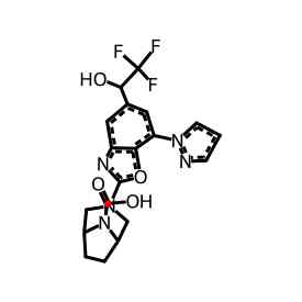 O=C(O)N1C2CCC1CN(c1nc3cc(C(O)C(F)(F)F)cc(-n4cccn4)c3o1)C2